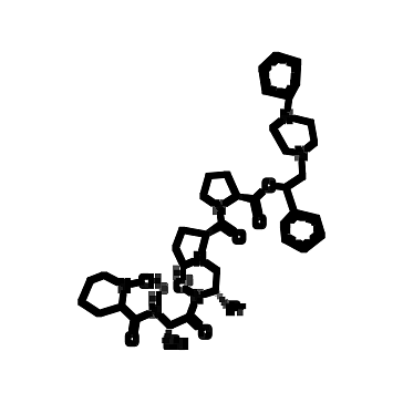 CC(C)[C@@H](CN1CCC[C@H]1C(=O)N1CCC[C@H]1C(=O)OC(CN1CCN(c2ccccc2)CC1)c1ccccc1)N(C)C(=O)[C@@H](NC(=O)C1CCCCN1C)C(C)(C)C